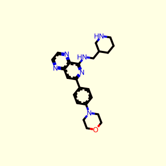 c1cnc2c(NCC3CCCNC3)nc(-c3ccc(N4CCOCC4)cc3)cc2n1